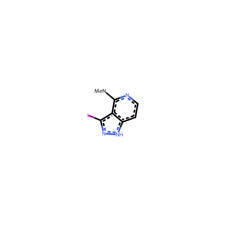 CNc1nccc2[nH]nc(I)c12